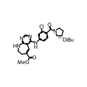 COC(=O)C1=Cc2c(ncnc2Nc2ccc(C(=O)N3CC[C@H](OCC(C)C)C3)c(Cl)c2)NCC1